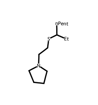 CCCCCC(CC)SCCN1CCCC1